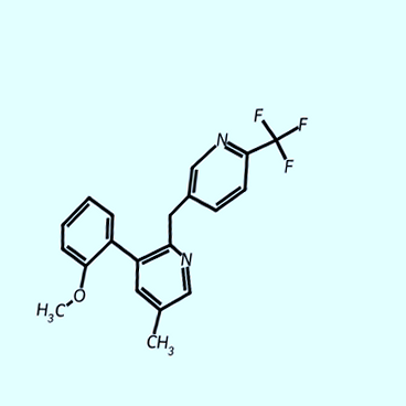 COc1ccccc1-c1cc(C)cnc1Cc1ccc(C(F)(F)F)nc1